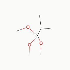 [CH2]C(C)C(OC)(OC)OC